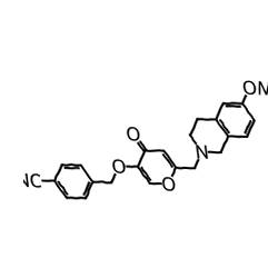 COc1ccc2c(c1)CCN(Cc1cc(=O)c(OCc3ccc(C#N)cc3)co1)C2